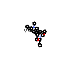 CC1(C)c2ccccc2-c2cc(N(c3ccccc3)c3ccc4c(c3)C3(c5ccccc5-c5cc(-c6ccccc6)c(N(c6ccccc6)c6ccc(C7C8CC9CC(C8)C7C9)cc6)cc53)c3ccc(-c5ccccc5)cc3-4)ccc21